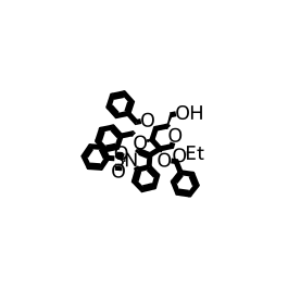 CCO[C@H]1O[C@H](CO)[C@@H](OCc2ccccc2)[C@H](OCc2ccccc2)[C@]1(OCc1ccccc1)c1cn(S(=O)(=O)c2ccccc2)c2ccccc12